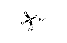 O=S(=O)([O-])[O-].[Cs+].[Pt+2]